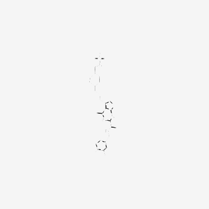 CS(=O)(=O)NCC1CCC(COCc2csc3nc(C(=O)NCc4ccc(F)c(Cl)c4)[nH]c(=O)c23)CC1